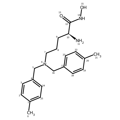 Cc1ccc(CN(CCC[C@H](N)C(=O)NO)Cc2ccc(C)cc2)cc1